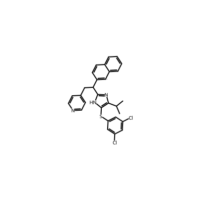 CC(C)c1nc(C(Cc2ccncc2)c2[c]c3ccccc3cc2)[nH]c1Sc1cc(Cl)cc(Cl)c1